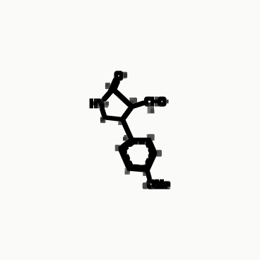 COc1ccc(C2CNC(=O)C2[C]=O)cc1